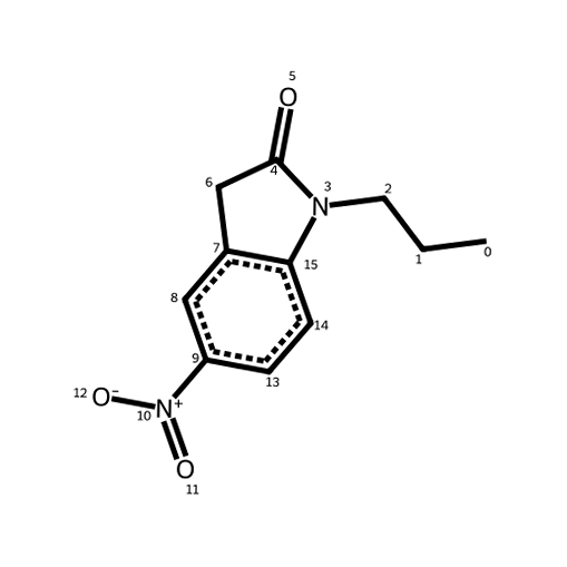 CCCN1C(=O)Cc2cc([N+](=O)[O-])ccc21